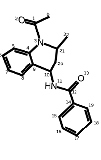 CC(=O)N1c2ccccc2C(NC(=O)c2ccccc2)CC1C